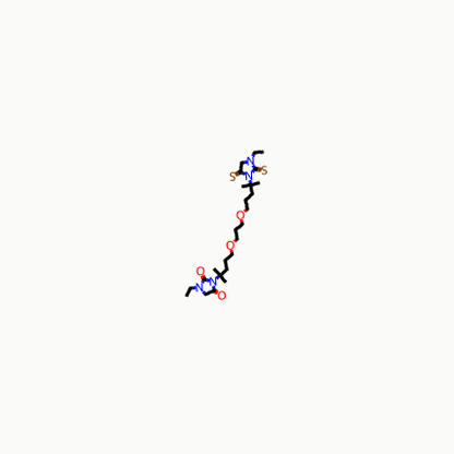 CCN1CC(=O)N(C(C)(C)CCCOCCCOCCCC(C)(C)N2C(=S)CN(CC)C2=S)C1=O